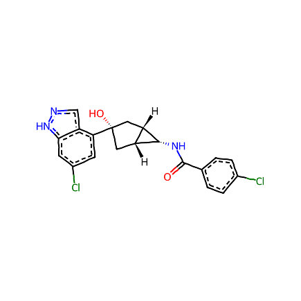 O=C(N[C@@H]1[C@@H]2C[C@@](O)(c3cc(Cl)cc4[nH]ncc34)C[C@@H]21)c1ccc(Cl)cc1